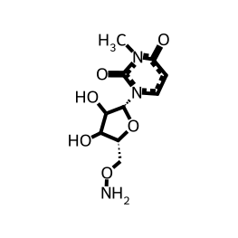 Cn1c(=O)ccn([C@@H]2O[C@H](CON)C(O)C2O)c1=O